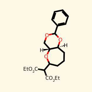 CCOC(=O)C(C(=O)OCC)C1CCC[C@@H]2OC(c3ccccc3)OC[C@H]2O1